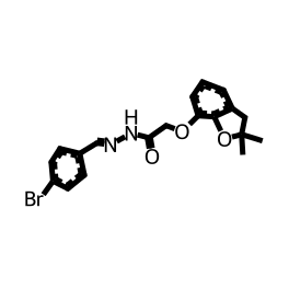 CC1(C)Cc2cccc(OCC(=O)NN=Cc3ccc(Br)cc3)c2O1